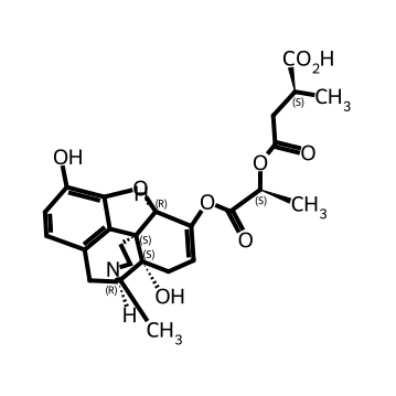 C[C@H](OC(=O)C[C@H](C)C(=O)O)C(=O)OC1=CC[C@@]2(O)[C@H]3Cc4ccc(O)c5c4[C@@]2(CCN3C)[C@H]1O5